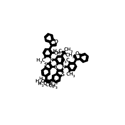 Cc1ccc(-c2coc3ccccc23)c(C)c1N1c2cc(C(C)(C)C)cc3c2B(c2c1sc1ccc(C(C)(C)C)cc21)c1c(sc2ccc(C(C)(C)C)cc12)N3c1c(C)ccc(-c2coc3ccccc23)c1C